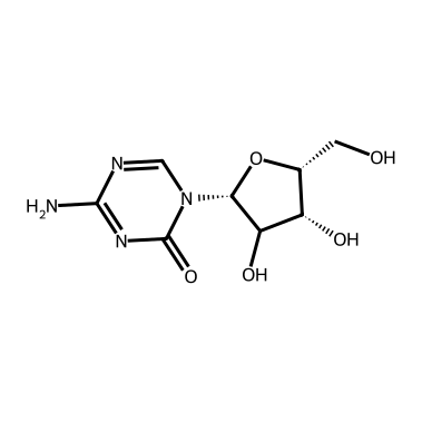 Nc1ncn([C@@H]2O[C@H](CO)[C@H](O)C2O)c(=O)n1